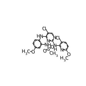 COc1ccc(Nc2nc(Nc3nc(OC)ccc3Cl)ncc2Cl)c(NS(C)(=O)=O)c1